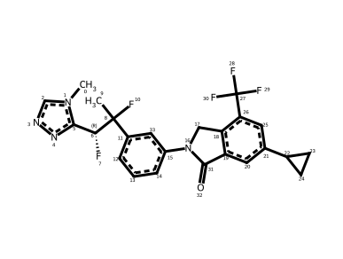 Cn1cnnc1[C@@H](F)C(C)(F)c1cccc(N2Cc3c(cc(C4CC4)cc3C(F)(F)F)C2=O)c1